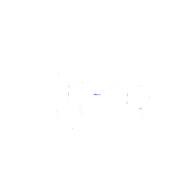 C=C1CC[C@@]2(O)[C@@H]1O[C@@H](n1cc(C(F)F)c3c(Cl)ncnc31)[C@@H]2O